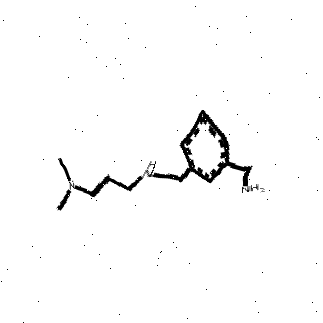 CN(C)CCCNCc1cccc(CN)c1